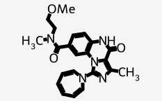 COCCN(C)C(=O)c1ccc2[nH]c(=O)c3c(C)nc(N4C=CC=CC=C4)n3c2c1